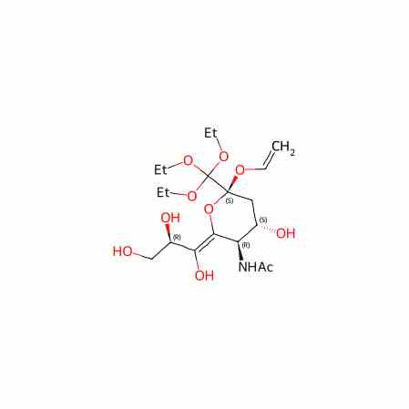 C=CO[C@@]1(C(OCC)(OCC)OCC)C[C@H](O)[C@@H](NC(C)=O)C(=C(O)[C@H](O)CO)O1